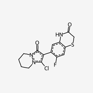 O=C1CSc2cc(F)c(-c3c(Cl)n4n(c3=O)CCCC4)cc2N1